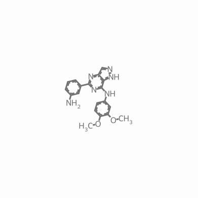 COc1ccc(Nc2nc(-c3cccc(N)c3)nc3cn[nH]c23)cc1OC